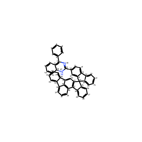 C1=CC2=C(c3ccccc3)N=C(c3ccc4c(c3)C3(c5ccccc5-4)c4ccccc4-c4c3cc3c5c(cccc45)-c4ccccc4-3)NC2C=C1